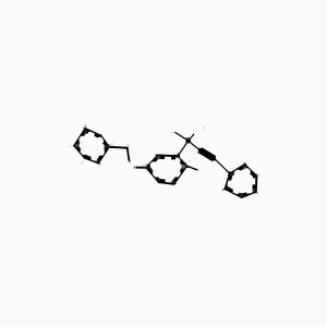 CC(O)(C#Cc1ccccc1)c1cc(OCc2ccccc2)ccc1O